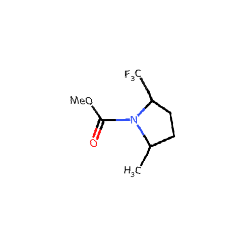 COC(=O)N1C(C)CCC1C(F)(F)F